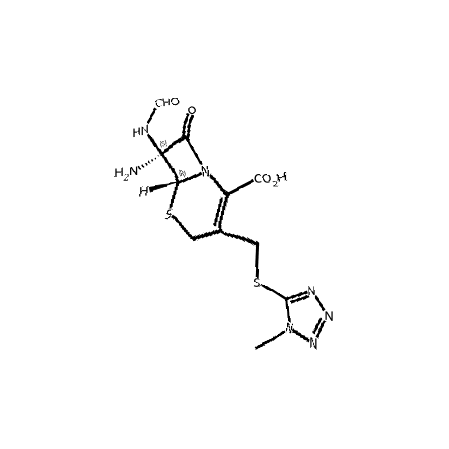 Cn1nnnc1SCC1=C(C(=O)O)N2C(=O)[C@](N)(NC=O)[C@H]2SC1